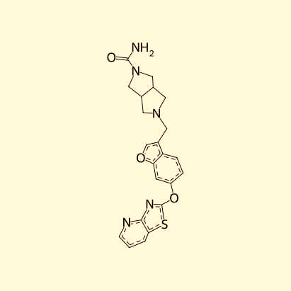 NC(=O)N1CC2CN(Cc3coc4cc(Oc5nc6ncccc6s5)ccc34)CC2C1